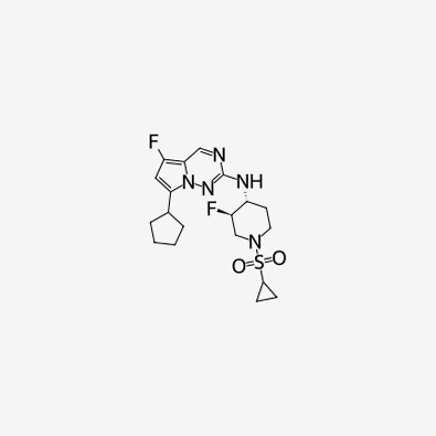 O=S(=O)(C1CC1)N1CC[C@@H](Nc2ncc3c(F)cc(C4CCCC4)n3n2)[C@H](F)C1